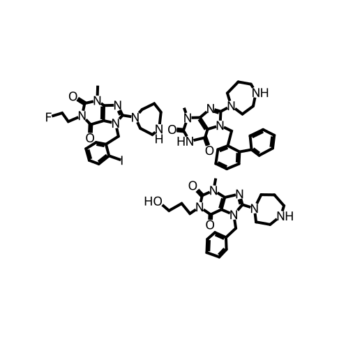 Cn1c(=O)[nH]c(=O)c2c1nc(N1CCCNCC1)n2Cc1ccccc1-c1ccccc1.Cn1c(=O)n(CCCO)c(=O)c2c1nc(N1CCCNCC1)n2Cc1ccccc1.Cn1c(=O)n(CCF)c(=O)c2c1nc(N1CCCNCC1)n2Cc1ccccc1I